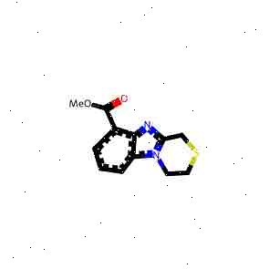 COC(=O)c1cccc2c1nc1n2CCSC1